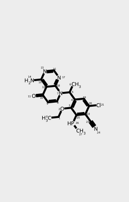 CCOc1c(C(C)n2ccc(=O)c3c(N)ncnc32)cc(Cl)c(C#N)c1PC